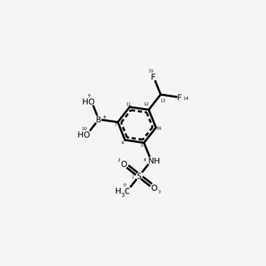 CS(=O)(=O)Nc1cc(B(O)O)cc(C(F)F)c1